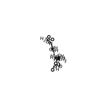 CC(C)(C)[Si](C)(C)O[C@@H](CNCCCCCNC(=O)NCCN1CC[C@@H](C(C(N)=O)(c2ccccc2)c2ccccc2)C1)c1ccc(OCc2ccccc2)c2[nH]c(=O)ccc12